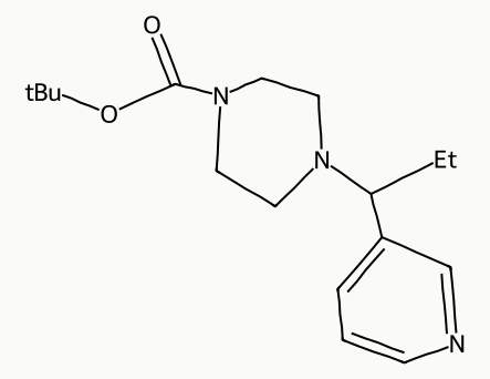 CCC(c1cccnc1)N1CCN(C(=O)OC(C)(C)C)CC1